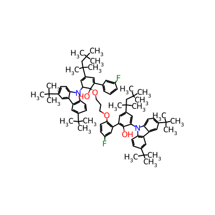 CC(C)(C)CC(C)(C)C1=CC(n2c3ccc(C(C)(C)C)cc3c3cc(C(C)(C)C)ccc32)C(O)(OCCCOc2ccc(F)cc2-c2cc(C(C)(C)CC(C)(C)C)cc(-n3c4ccc(C(C)(C)C)cc4c4cc(C(C)(C)C)ccc43)c2O)C(c2cccc(F)c2)=C1